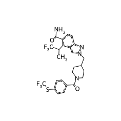 CC(c1c(C(N)=O)ccc2nn(CC3CCN(C(=O)c4ccc(SC(F)(F)F)cc4)CC3)cc12)C(F)(F)F